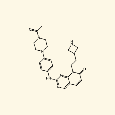 CC(=O)N1CCN(c2ccc(Nc3ncc4ccc(=O)n(CCC5CNC5)c4n3)cc2)CC1